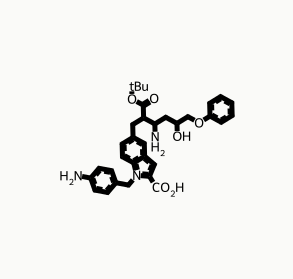 CC(C)(C)OC(=O)C(Cc1ccc2c(c1)cc(C(=O)O)n2Cc1ccc(N)cc1)C(N)CC(O)COc1ccccc1